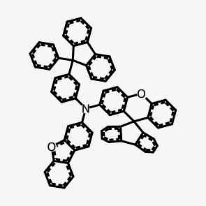 c1ccc(C2(c3cccc(N(c4ccc5c(c4)C4(c6ccccc6O5)c5ccccc5-c5ccccc54)c4ccc5c(c4)oc4ccccc45)c3)c3ccccc3-c3ccccc32)cc1